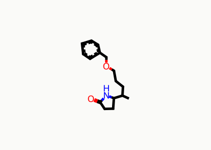 CC(CCCOCc1ccccc1)C1CCC(=O)N1